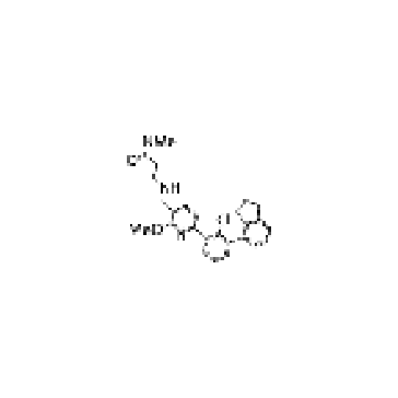 CNC(=O)CCNCc1ccc(-c2cccc(-c3cccc4c3CCC4)c2Cl)nc1OC